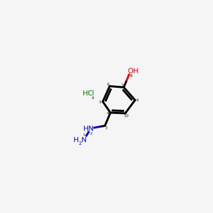 Cl.NNCc1ccc(O)cc1